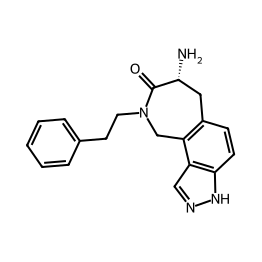 N[C@@H]1Cc2ccc3[nH]ncc3c2CN(CCc2ccccc2)C1=O